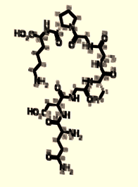 CC(C)C[C@H](NC(=O)CNC(=O)[C@H](CC(=O)O)NC(=O)[C@@H](N)CCC(N)=O)C(=O)N[C@@H](C)C(=O)NCC(=O)N1CCC[C@H]1C(=O)N[C@@H](CCCCN)C(=O)O